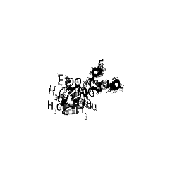 CCO[C@H](C)[C@H](NC(=O)[C@H](C)N(C)C(=O)OC(C)(C)C)C(=O)N1CCC[C@H]1CN(CCc1ccc(F)cc1)C(=O)c1cn(-c2ccc(F)cc2)cn1